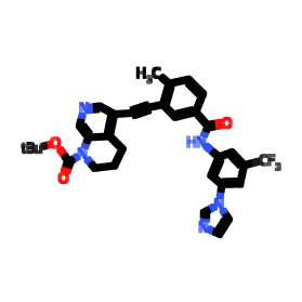 Cc1ccc(C(=O)Nc2cc(-n3ccnc3)cc(C(F)(F)F)c2)cc1C#Cc1cncc2c1CCCN2C(=O)OC(C)(C)C